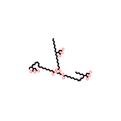 CCCCCCCCC(/C=C/CCCCCCC(=O)OC(COC(=O)CCCCCCC/C=C\C=C\C(CCCCC)C1CC(=O)OC1=O)COC(=O)CCCCCCC/C=C\C/C=C\C=C\C(CC)C1CC(=O)OC1=O)C1CC(=O)OC1=O